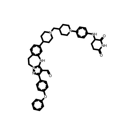 O=Cc1c(-c2ccc(Oc3ccccc3)cc2)nn2c1Nc1cc(C3CCN(CC4CCN(c5ccc(NC6CCC(=O)NC6=O)cc5)CC4)CC3)ccc1CC2